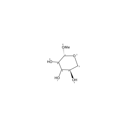 CO[C@@H]1OC[C@@H](O)C(O)C1O